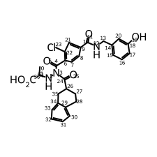 C[C@H](NN(C(=O)c1ccc(C(=O)NCc2cccc(O)c2)cc1Cl)C(=O)C1CCc2ccccc2C1)C(=O)O